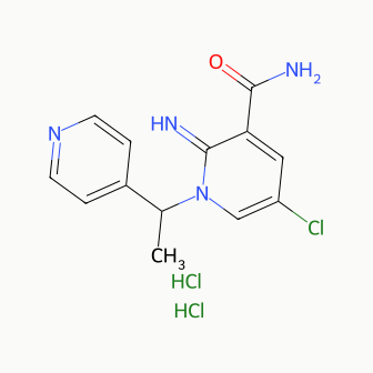 CC(c1ccncc1)n1cc(Cl)cc(C(N)=O)c1=N.Cl.Cl